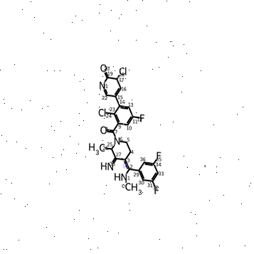 CN/C(=C1/CCN(C(=O)c2cc(F)cc(C3=CC(Cl)C(=O)N=C3)c2Cl)C(C)C1=N)c1cc(F)cc(F)c1